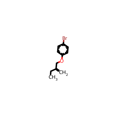 C=C(CC)COc1ccc(Br)cc1